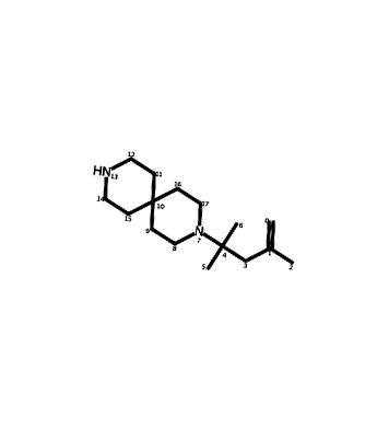 C=C(C)CC(C)(C)N1CCC2(CCNCC2)CC1